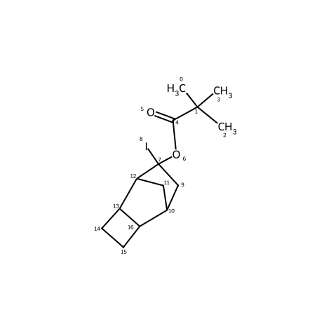 CC(C)(C)C(=O)OC1(I)CC2CC1C1CCC21